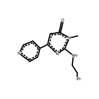 CC(C)CCNc1nc(-c2ccncc2)cc(=O)n1C